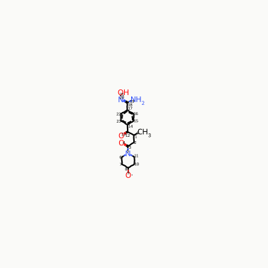 CC(CC(=O)N1CCC([O])CC1)C(=O)c1ccc(C(N)=NO)cc1